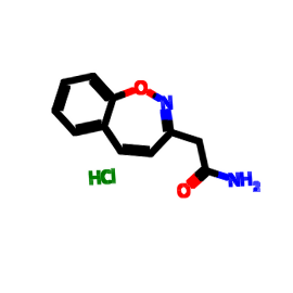 Cl.NC(=O)CC1=NOc2ccccc2C=C1